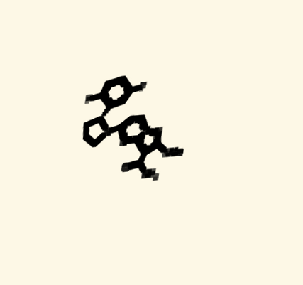 CNc1nn2ccc(N3CCC[C@@H]3c3cc(F)ccc3F)nc2c1C(N)=O